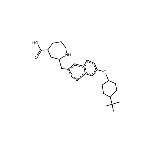 CC(C)(C)C1CCC(Oc2ccc3cc(CC4CC(C(=O)O)CCCN4)ccc3c2)CC1